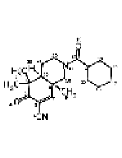 CC1(C)C(=O)C(C#N)=C[C@@]2(C)CN(C(=O)C3CCCCC3)CC[C@H]12